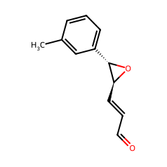 Cc1cccc([C@@H]2O[C@H]2/C=C/C=O)c1